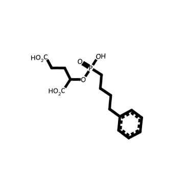 O=C(O)CCC(OP(=O)(O)CCCCc1ccccc1)C(=O)O